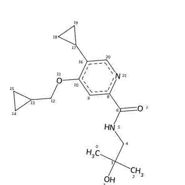 CC(C)(O)CNC(=O)c1cc(OCC2CC2)c(C2CC2)cn1